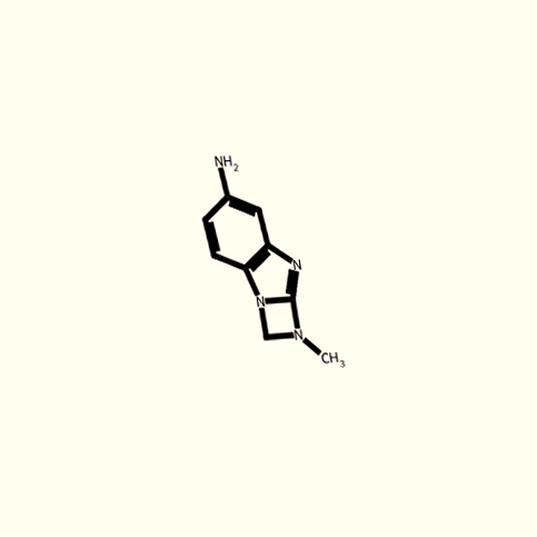 CN1Cn2c1nc1cc(N)ccc12